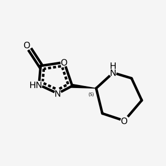 O=c1[nH]nc([C@@H]2COCCN2)o1